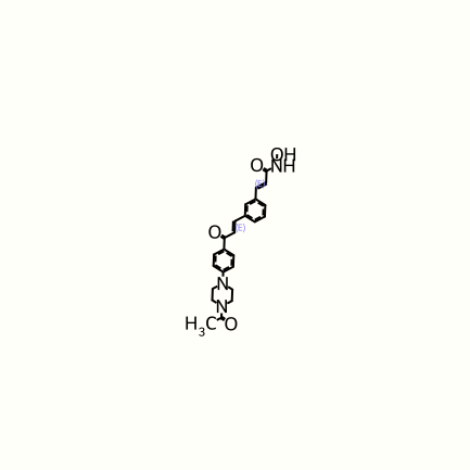 CC(=O)N1CCN(c2ccc(C(=O)/C=C/c3cccc(/C=C/C(=O)NO)c3)cc2)CC1